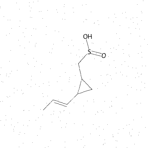 C/C=C/C1CC1CS(=O)O